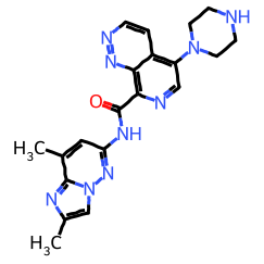 Cc1cn2nc(NC(=O)c3ncc(N4CCNCC4)c4ccnnc34)cc(C)c2n1